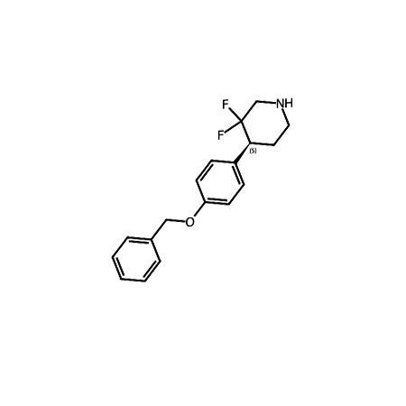 FC1(F)CNCC[C@H]1c1ccc(OCc2ccccc2)cc1